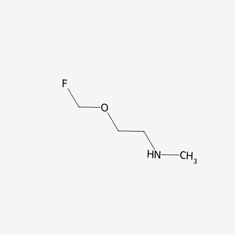 CNCCOCF